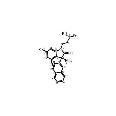 CCN(CC)CCN1C(=O)C(N)(c2ccc3ccccc3c2)c2c(Cl)cc(Cl)cc21